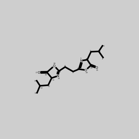 CC(C)CC1N=C(CCC2=NC(CC(C)C)C(=O)O2)OC1=O